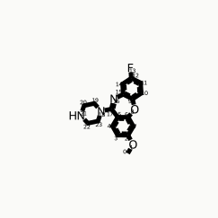 COc1ccc2c(c1)Oc1ccc(F)cc1N=C2N1CCNCC1